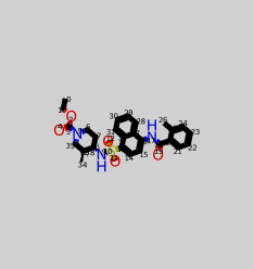 CCOC(=O)N1CC[C@@H](NS(=O)(=O)c2ccc(NC(=O)c3ccccc3C)c3ccccc23)[C@@H](C)C1